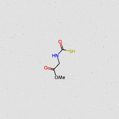 COC(=O)CNC(=O)S